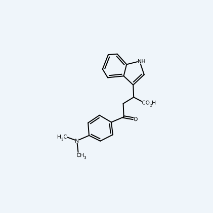 CN(C)c1ccc(C(=O)CC(C(=O)O)c2c[nH]c3ccccc23)cc1